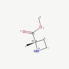 COC(=O)[C@]1(C)CCN1